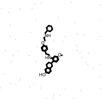 COc1ccc(C2CCc3cc(O)ccc3C2)c(NCCc2ccc(OCCNCC3CCCCC3)cc2)c1